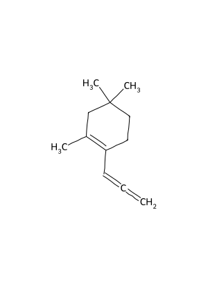 C=C=CC1=C(C)CC(C)(C)CC1